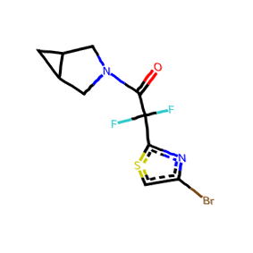 O=C(N1CC2CC2C1)C(F)(F)c1nc(Br)cs1